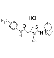 Cl.O=C(CC1CSC(=NC23CC4CC(CC(C4)C2)C3)N1C1CC1)Nc1ccc(C(F)(F)F)cc1